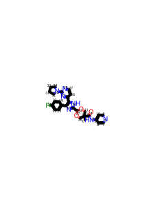 CC1(C(=O)Nc2ccncc2)COC(c2nc(-c3ccc(F)cc3)c(-c3ccnc(N4CCCC4)n3)[nH]2)OC1